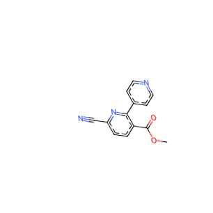 COC(=O)c1ccc(C#N)nc1-c1ccncc1